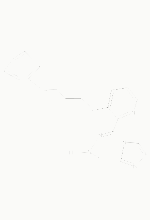 CN(C)/N=C(/c1ncccc1OCCCOc1ccccc1)n1ccnc1